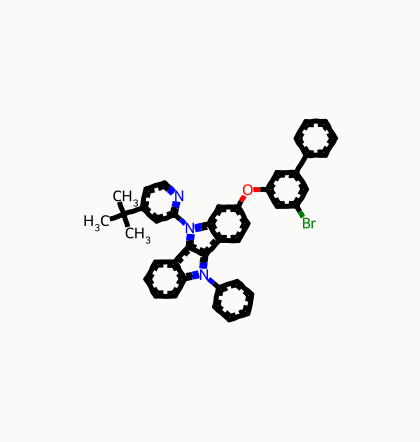 CC(C)(C)c1ccnc(-n2c3cc(Oc4cc(Br)cc(-c5ccccc5)c4)ccc3c3c2c2ccccc2n3-c2ccccc2)c1